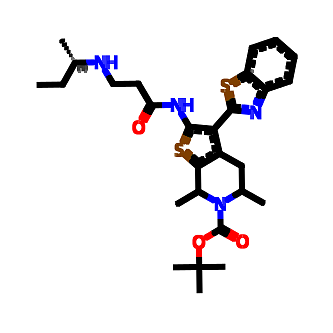 CC[C@H](C)NCCC(=O)Nc1sc2c(c1-c1nc3ccccc3s1)CC(C)N(C(=O)OC(C)(C)C)C2C